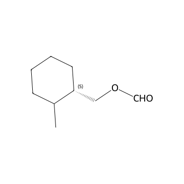 CC1CCCC[C@@H]1COC=O